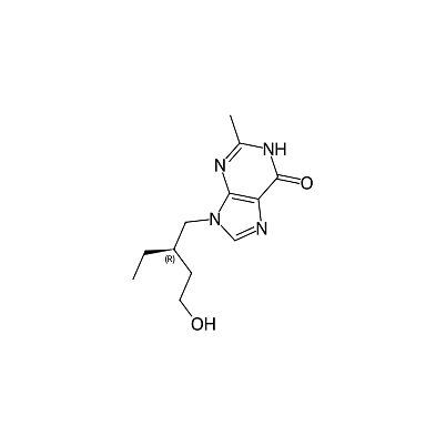 CC[C@H](CCO)Cn1cnc2c(=O)[nH]c(C)nc21